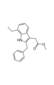 CCc1cccc2c(CC(=O)OC)c(Cc3ccccc3)[nH]c12